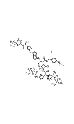 COc1ccc(COC(=O)C2=C(C[n+]3ccc4n(Cc5cc(C(=N)NC(=O)OC(C)(C)C)cs5)ccn43)CS[C@@H]3[C@H](NC(=O)/C(=N\OC(C)(C)C(=O)OC(C)(C)C)c4csc(NC(=O)OC(C)(C)C)n4)C(=O)N23)cc1.[I-]